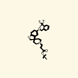 CC(C)(C)OC(=O)CCN1CCC2(CC1)COc1ccc(OCc3ccccc3C(F)(F)F)cc12